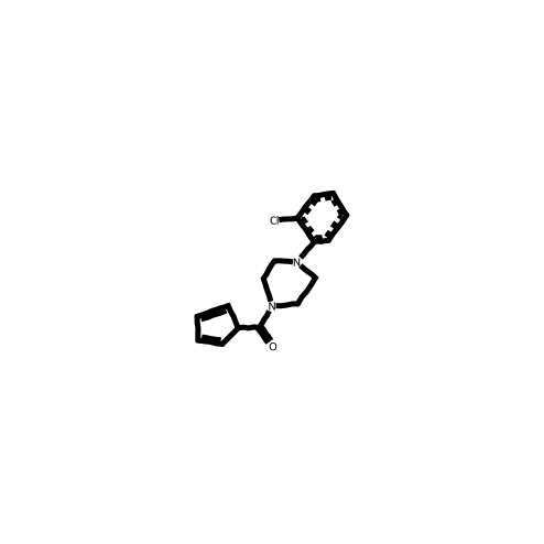 O=C(C1C=CC=C1)N1CCN(c2ccccc2Cl)CC1